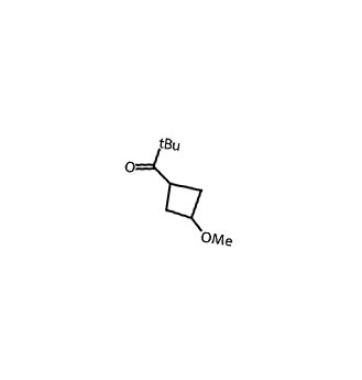 COC1CC(C(=O)C(C)(C)C)C1